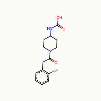 O=C(O)NC1CCN(C(=O)Cc2ccccc2Br)CC1